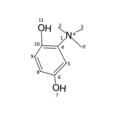 C[N+](C)(C)c1cc(O)ccc1O